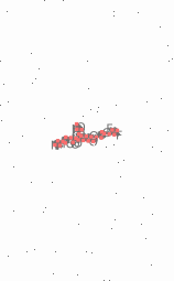 Cc1nc(C(=O)N2Cc3cc4c(cc3C[C@H]2C(=O)N[C@@H](Cc2ccc(-c3ccnc(C)c3C)cc2)C(=O)O)OC[C@H](c2ccc(OCc3cc(F)ccc3F)cc2)O4)c(C)o1